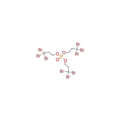 O=P(OCCC(Br)(Br)Br)(OCCC(Br)(Br)Br)OCCC(Br)(Br)Br